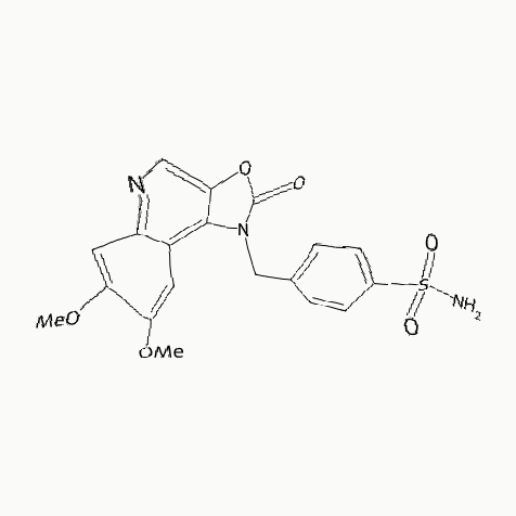 COc1cc2ncc3oc(=O)n(Cc4ccc(S(N)(=O)=O)cc4)c3c2cc1OC